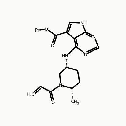 C=CC(=O)N1C[C@H](Nc2ncnc3[nH]cc(C(=O)OC(C)C)c23)CC[C@@H]1C